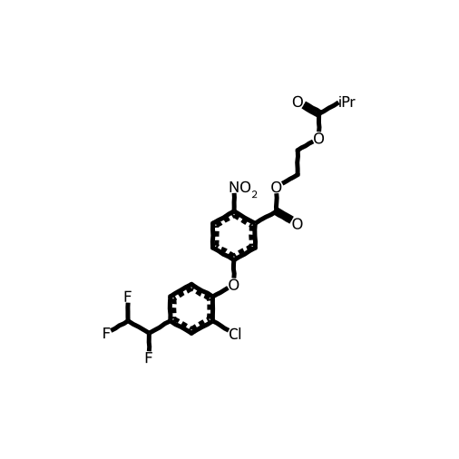 CC(C)C(=O)OCCOC(=O)c1cc(Oc2ccc(C(F)C(F)F)cc2Cl)ccc1[N+](=O)[O-]